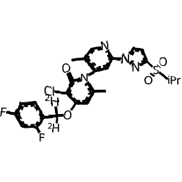 [2H]C([2H])(Oc1cc(C)n(-c2cc(-n3ccc(S(=O)(=O)C(C)C)n3)ncc2C)c(=O)c1Cl)c1ccc(F)cc1F